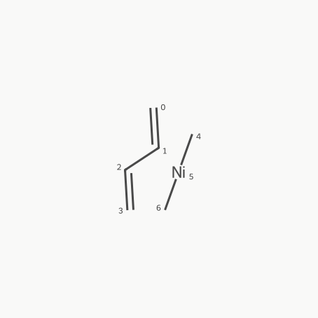 C=CC=C.[CH3][Ni][CH3]